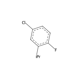 CC(C)c1cc(Cl)ccc1F